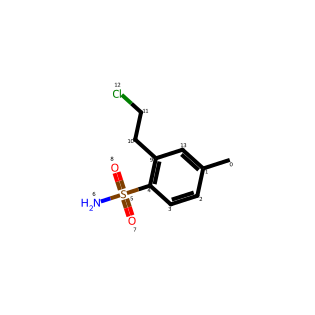 Cc1ccc(S(N)(=O)=O)c(CCCl)c1